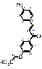 CC(C)c1ccc(/C=C/C(=O)c2ccc(OCC(=O)O)cc2)cc1